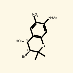 CC(=O)Nc1cc2c(cc1[N+](=O)[O-])[C@@H](O)[C@H](Br)C(C)(C)O2